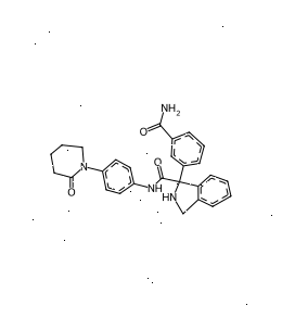 NC(=O)c1cccc(C2(C(=O)Nc3ccc(N4CCCCC4=O)cc3)NCc3ccccc32)c1